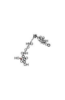 CC1=C(C(=O)OCc2cn(CCCCCC(=O)NCCOCCOCCNC(=O)c3ccc4c(c3)C(=O)OC43c4ccc(O)cc4Oc4cc(O)ccc43)nn2)N2C(=O)[C@@H](NC(=O)COc3ccccc3)[C@H]2SC1